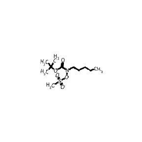 CCCCCN(OS(C)(=O)=O)C(=O)OC(C)(C)C